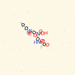 COc1cc(F)c(CC(=O)Nc2ccc(C(=O)N(CC(=O)O)Cc3ccc(-c4nc(-c5ccc(-c6ccc(C)cc6)cc5)no4)cc3)cc2)c(OC)c1